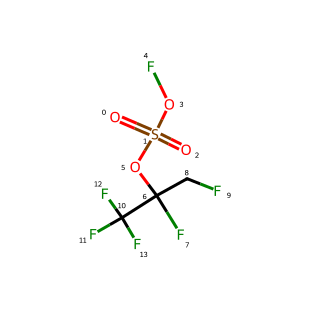 O=S(=O)(OF)OC(F)(CF)C(F)(F)F